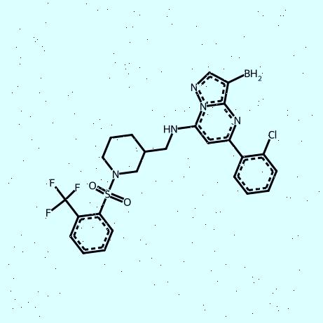 Bc1cnn2c(NCC3CCCN(S(=O)(=O)c4ccccc4C(F)(F)F)C3)cc(-c3ccccc3Cl)nc12